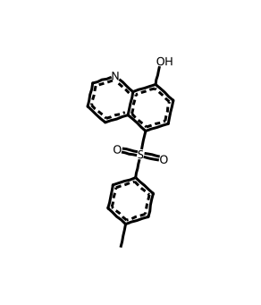 Cc1ccc(S(=O)(=O)c2ccc(O)c3ncccc23)cc1